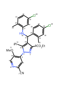 CCOC(=O)c1nn(-c2cc(C#N)ncc2OC)c(C(C)C)c1C(Nc1cc(Cl)ccc1C)c1ccc(Cl)cc1C